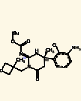 CC1(CN2C(=O)C[C@@](C)(c3cccc(N)c3Cl)N/C2=N\C(=O)OC(C)(C)C)COC1